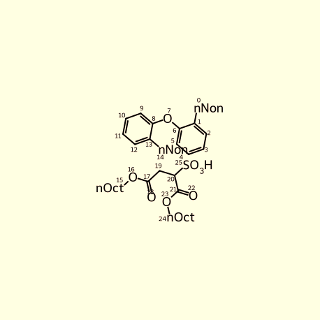 CCCCCCCCCc1ccccc1Oc1ccccc1CCCCCCCCC.CCCCCCCCOC(=O)CC(C(=O)OCCCCCCCC)S(=O)(=O)O